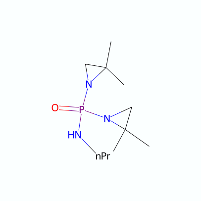 CCCNP(=O)(N1CC1(C)C)N1CC1(C)C